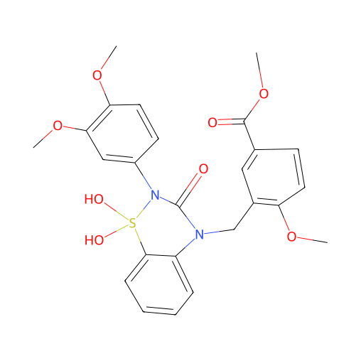 COC(=O)c1ccc(OC)c(CN2C(=O)N(c3ccc(OC)c(OC)c3)S(O)(O)c3ccccc32)c1